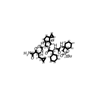 CC(C)(C)S(=O)(=O)CC1(NC(=O)N[C@H](C(=O)N2C[C@H]3[C@H](CCC34CC4)[C@H]2C(=O)NC(CC2CC2)C(=O)C(N)=O)C2CCCCC2)CCCCC1